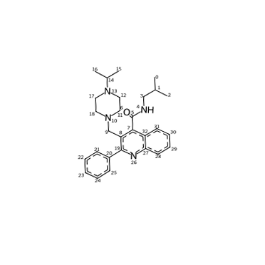 CC(C)CNC(=O)c1c(CN2CCN(C(C)C)CC2)c(-c2ccccc2)nc2ccccc12